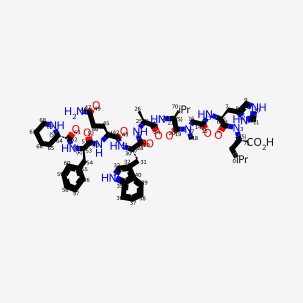 CC(C)C[C@H](NC(=O)[C@H](Cc1c[nH]cn1)NC(=O)CN(C)C(=O)[C@@H](NC(=O)[C@H](C)NC(=O)[C@H](Cc1c[nH]c2ccccc12)NC(=O)[C@H](CCC(N)=O)NC(=O)[C@@H](Cc1ccccc1)NC(=O)[C@@H]1CCCCN1)C(C)C)C(=O)O